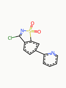 O=S1(=O)N=C(Cl)c2ccc(-c3ccccn3)cc21